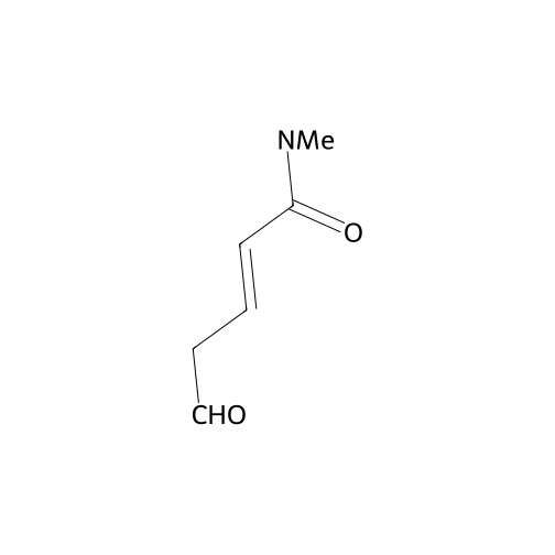 CNC(=O)C=CCC=O